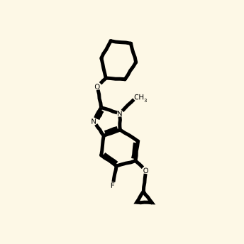 Cn1c(OC2CCCCC2)nc2cc(F)c(OC3CC3)cc21